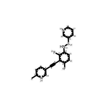 Cc1ccc(C#Cc2c(F)ccc(NSc3cccnc3)c2F)cn1